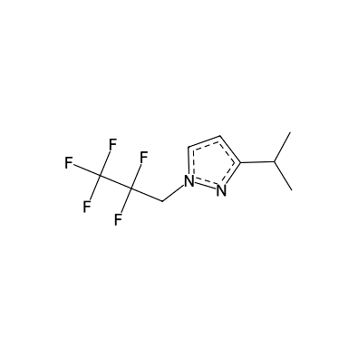 CC(C)c1ccn(CC(F)(F)C(F)(F)F)n1